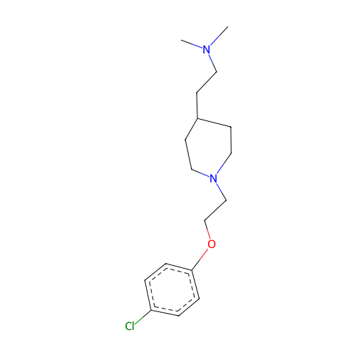 CN(C)CCC1CCN(CCOc2ccc(Cl)cc2)CC1